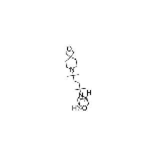 CC(C)(CCC(C)(C)N1C[C@@H]2C[C@H]1CO2)N1CCC2(CC1)COC2